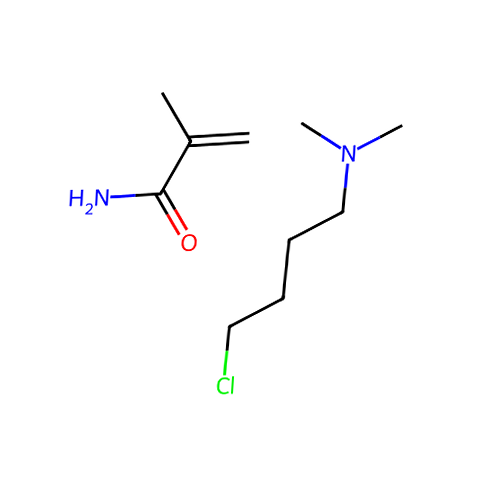 C=C(C)C(N)=O.CN(C)CCCCCl